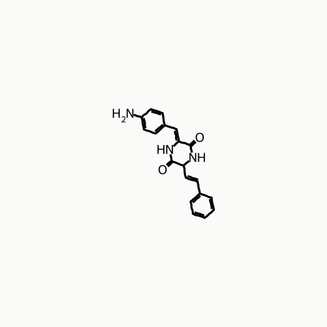 Nc1ccc(C=C2NC(=O)C(C=Cc3ccccc3)NC2=O)cc1